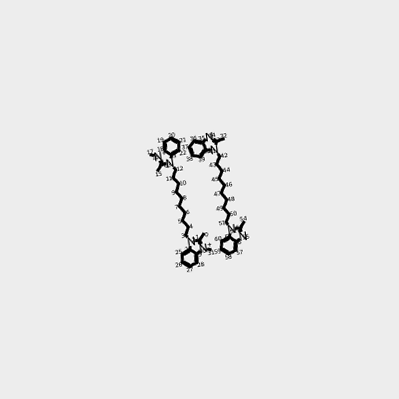 Cc1n(CCCCCCCCCCn2c(C)[n+](C)c3ccccc32)c2ccccc2[n+]1C.Cc1nc2ccccc2n1CCCCCCCCCCn1c(C)nc2ccccc21